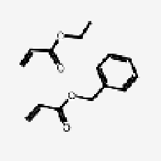 C=CC(=O)OCC.C=CC(=O)OCc1ccccc1